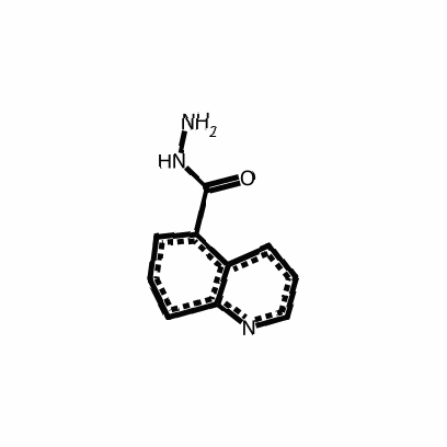 NNC(=O)c1cccc2ncccc12